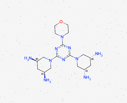 N[C@@H]1C[C@H](N)CN(c2nc(N3CCOCC3)nc(N3C[C@H](N)C[C@H](N)C3)n2)C1